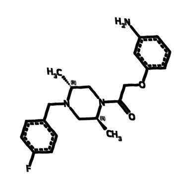 C[C@@H]1CN(C(=O)COc2cccc(N)c2)[C@@H](C)CN1Cc1ccc(F)cc1